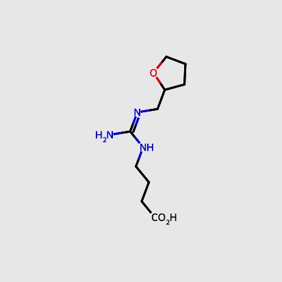 NC(=NCC1CCCO1)NCCCC(=O)O